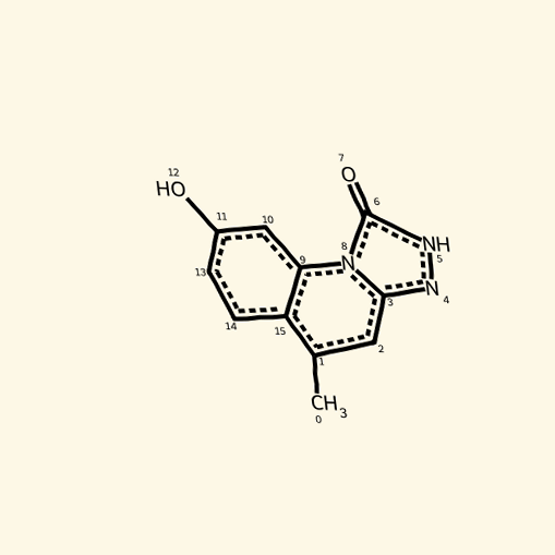 Cc1cc2n[nH]c(=O)n2c2cc(O)ccc12